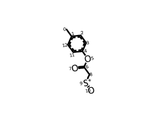 Cc1ccc(OC(=O)C[S+]=O)cc1